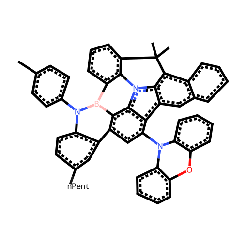 CCCCCc1ccc2c(c1)-c1cc(N3c4ccccc4Oc4ccccc43)c3c4cc5ccccc5c5c4n4c3c1B(c1cccc(c1-4)C5(C)C)N2c1ccc(C)cc1